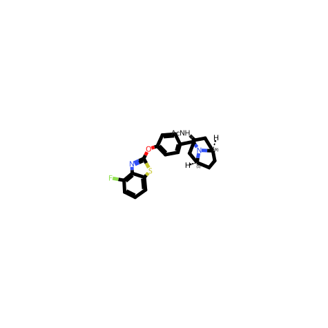 CC(=O)NC1C[C@H]2CC[C@@H](C1)N2Cc1ccc(Oc2nc3c(F)cccc3s2)cc1